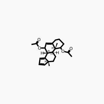 CC(=O)OC1C=C2CCCC(OC(C)=O)[C@]2(C)[C@H]2CC[C@]3(C)C=CC=C3[C@H]12